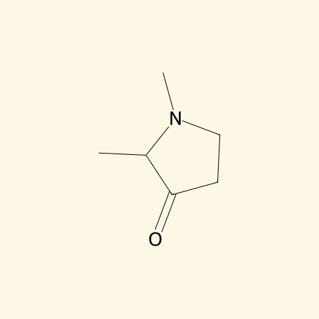 CC1C(=O)CCN1C